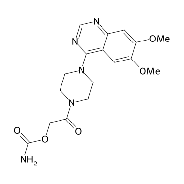 COc1cc2ncnc(N3CCN(C(=O)COC(N)=O)CC3)c2cc1OC